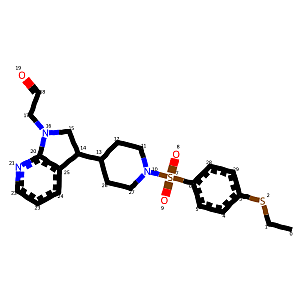 CCSc1ccc(S(=O)(=O)N2CCC(C3CN(CC=O)c4ncccc43)CC2)cc1